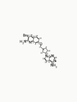 Nc1nc2cc(OCC3CCC(n4ccc5c(N)ncnc54)C3)ccc2cc1Br